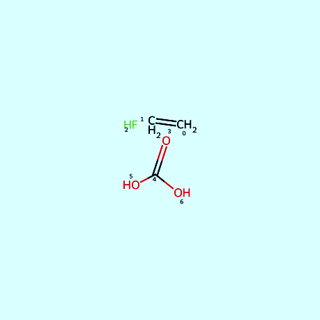 C=C.F.O=C(O)O